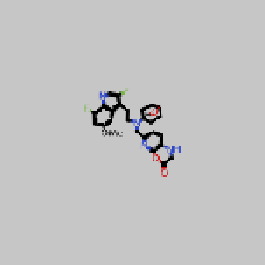 COc1cc(F)c2ncc(F)c(CCN(Cc3ccc4c(n3)OC(=O)CN4)C34CCC(CC3)OC4)c2c1